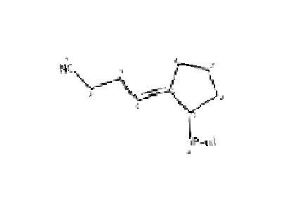 CCCCCC1CCCC1=CCCC#N